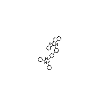 c1ccc(-c2cc(-c3ccc(-c4cccc(-c5nc6c7ccccc7ccc6c6sc7ccccc7c56)c4)cc3)nc(-c3ccccc3)n2)cc1